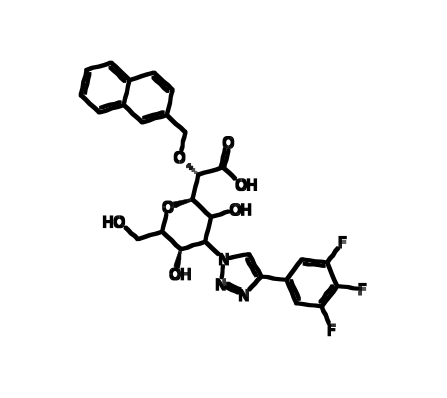 O=C(O)[C@@H](OCc1ccc2ccccc2c1)[C@@H]1OC(CO)[C@H](O)C(n2cc(-c3cc(F)c(F)c(F)c3)nn2)C1O